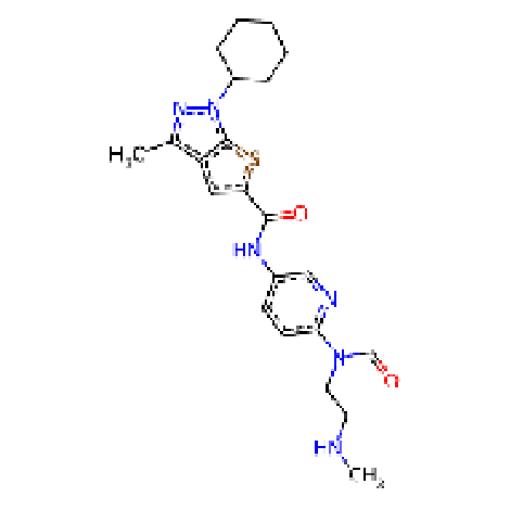 CNCCN(C=O)c1ccc(NC(=O)c2cc3c(C)nn(C4CCCCC4)c3s2)cn1